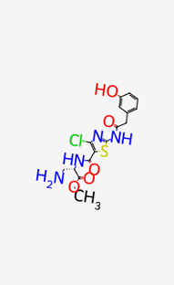 COC(=O)[C@H](CN)NC(=O)c1sc(NC(=O)Cc2cccc(O)c2)nc1Cl